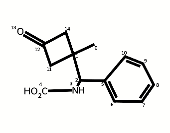 CC1([C](NC(=O)O)c2ccccc2)CC(=O)C1